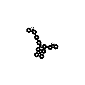 c1ccc(C2(c3ccccc3)c3ccccc3-c3c(N(c4ccc(-c5ccc(-c6ccc7oc8ccccc8c7c6)cc5)cc4)c4ccc(-c5ccc6c(c5)oc5ccccc56)cc4)cccc32)cc1